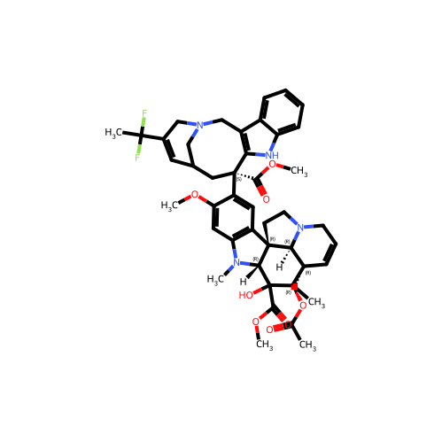 CC[C@]12C=CCN3CC[C@@]4(c5cc([C@@]6(C(=O)OC)CC7C=C(C(C)(F)F)CN(Cc8c6[nH]c6ccccc86)C7)c(OC)cc5N(C)[C@H]4C(O)(C(=O)OC)[C@@H]1OC(C)=O)[C@@H]32